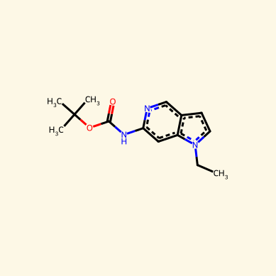 CCn1ccc2cnc(NC(=O)OC(C)(C)C)cc21